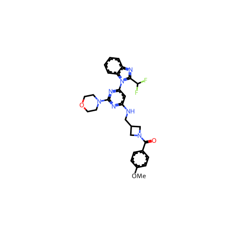 COc1ccc(C(=O)N2CC(CNc3cc(-n4c(C(F)F)nc5ccccc54)nc(N4CCOCC4)n3)C2)cc1